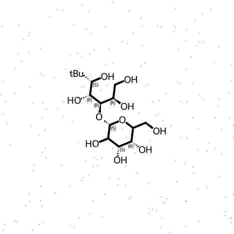 CC(C)(C)[C@H](O)[C@@H](O)[C@H](O[C@@H]1OC(CO)[C@H](O)[C@H](O)C1O)[C@H](O)CO